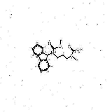 COC(=O)N(CCCN(C)C(=O)O)C1c2ccccc2-c2ccccc21